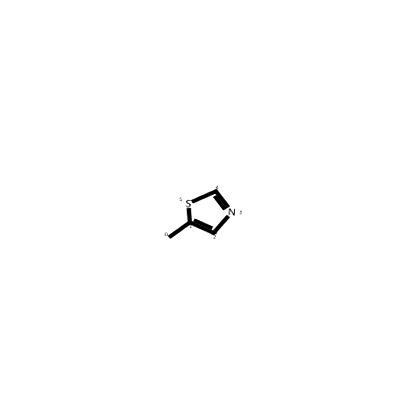 Cc1[c]n[c]s1